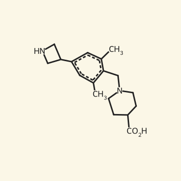 Cc1cc(C2CNC2)cc(C)c1CN1CCC(C(=O)O)CC1